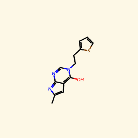 Cc1cc2c(O)n(CCc3cccs3)cnc-2n1